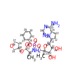 C[C@H](NP(=O)(OC[C@@]1(C)O[C@@H](c2ccc3c(N)ncnn23)[C@H](O)[C@@H]1O)Oc1ccccc1)C(=O)O[C@H]1CCOC1